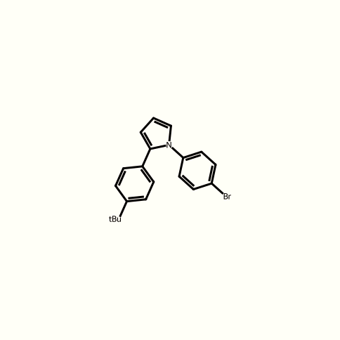 CC(C)(C)c1ccc(-c2cccn2-c2ccc(Br)cc2)cc1